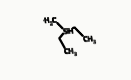 [CH2][SiH](CC)CC